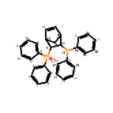 O=P(c1ccccc1)(c1ccccc1)C1C2C=CC(C2)C1P(c1ccccc1)c1ccccc1